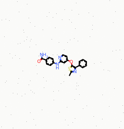 Cc1nc(-c2ccccc2)c(Oc2ccnc(Nc3ccc(C(N)=O)cc3)c2)s1